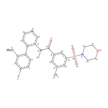 COc1cc(F)ccc1-c1ccncc1N(C)C(=O)c1cc(C(F)(F)F)cc(S(=O)(=O)N2CCOCC2)c1